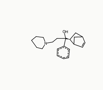 OC(CCN1CCCCC1)(c1ccccc1)[C@H]1CC2C=CC1C2